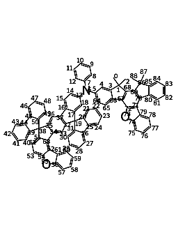 CC1(C)c2cc(N(c3ccccc3)c3ccc4c(c3)C3(c5ccccc5-c5ccccc53)c3cc5c(cc3-4)C3(c4ccccc4-c4ccccc43)c3ccc4oc6ccccc6c4c3-5)ccc2-c2c1c1c(c3c2oc2ccccc23)-c2ccccc2C1(C)C